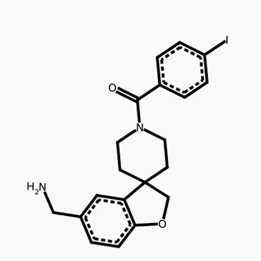 NCc1ccc2c(c1)C1(CCN(C(=O)c3ccc(I)cc3)CC1)CO2